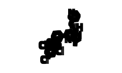 Cc1cnn2c(NCc3cccnc3)cc(C3CCCN(S(=O)(=O)c4c(Cl)cc(Cl)cc4Cl)C3)nc12